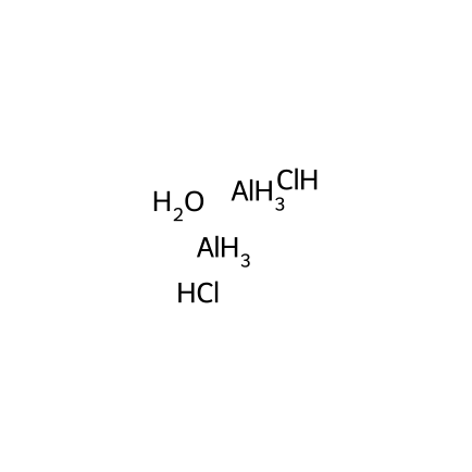 Cl.Cl.O.[AlH3].[AlH3]